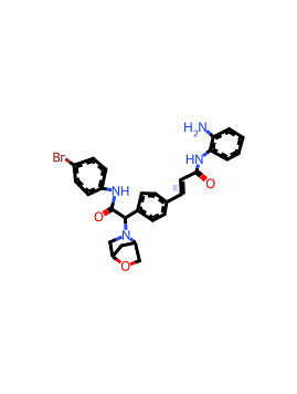 Nc1ccccc1NC(=O)/C=C/c1ccc(C(C(=O)Nc2ccc(Br)cc2)N2CC3CC2CO3)cc1